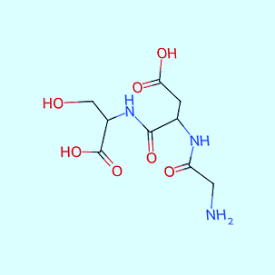 NCC(=O)NC(CC(=O)O)C(=O)NC(CO)C(=O)O